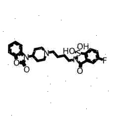 O=C1c2cc(F)ccc2S(O)(O)N1CCCCN1CCC(n2c(=O)oc3ccccc32)CC1